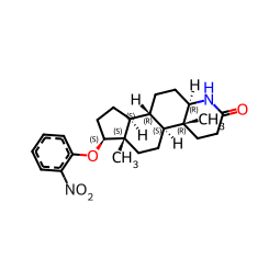 C[C@]12CCC(=O)N[C@@H]1CC[C@@H]1[C@@H]2CC[C@]2(C)[C@@H](Oc3ccccc3[N+](=O)[O-])CC[C@@H]12